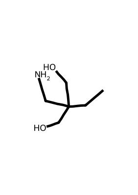 CCC(CN)(CO)CO